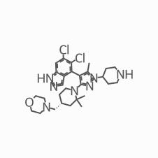 Cc1c(-c2c(Cl)c(Cl)cc3[nH]ncc23)c(N2CC[C@@H](CN3CCOCC3)CC2(C)C)nn1C1CCNCC1